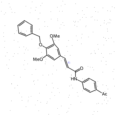 COc1cc(/C=C/C(=O)Nc2ccc(C(C)=O)cc2)cc(OC)c1OCc1ccccc1